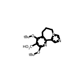 CC(C)(C)Oc1nc2c(c(OC(C)(C)C)c1C(=O)O)CCCn1cncc1-2